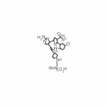 Cc1ccc(Cl)cc1-c1[nH]c(-c2nc(N)ncc2C#Cc2ccc(NCCN(C(=O)O)C(C)(C)C)cc2)cc1C(N)=O